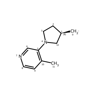 [CH2][C@@H]1CCN(c2cnccc2C)C1